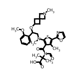 COc1ccccc1C(CN(C)c1sc(-c2ncco2)c(C)c1C(=O)N(C=O)C(C)(C)C(=O)O)OC1CC2(C1)CN(C)C2